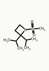 CC(C)C1(C(C)C)CCN1S(C)(=O)=O